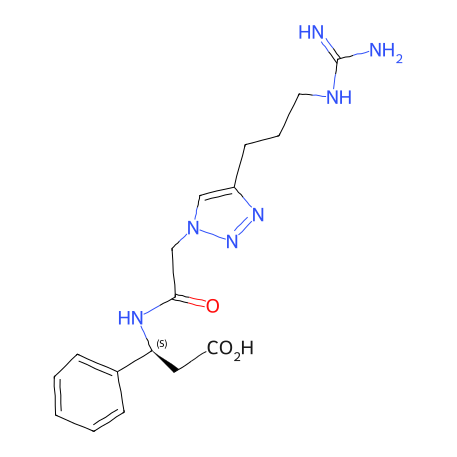 N=C(N)NCCCc1cn(CC(=O)N[C@@H](CC(=O)O)c2ccccc2)nn1